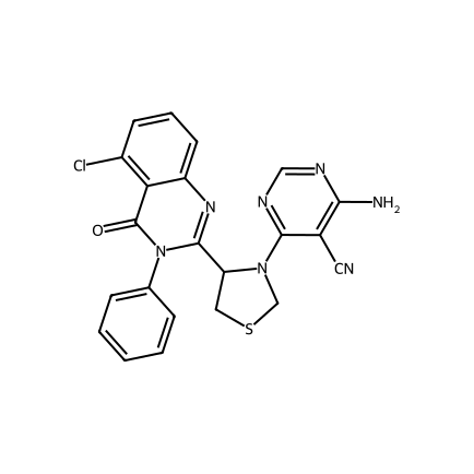 N#Cc1c(N)ncnc1N1CSCC1c1nc2cccc(Cl)c2c(=O)n1-c1ccccc1